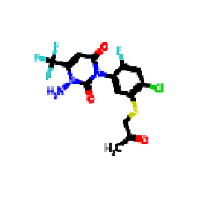 CC(=O)CSc1cc(-n2c(=O)cc(C(F)(F)F)n(N)c2=O)c(F)cc1Cl